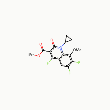 COc1c(F)c(F)cc2c(F)c(C(=O)OC(C)C)c(=O)n(C3CC3)c12